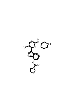 O=C(Oc1cccc2c(-c3nc(N[C@H]4CCCNC4)ncc3C(F)(F)F)c[nH]c12)N1CCCC1